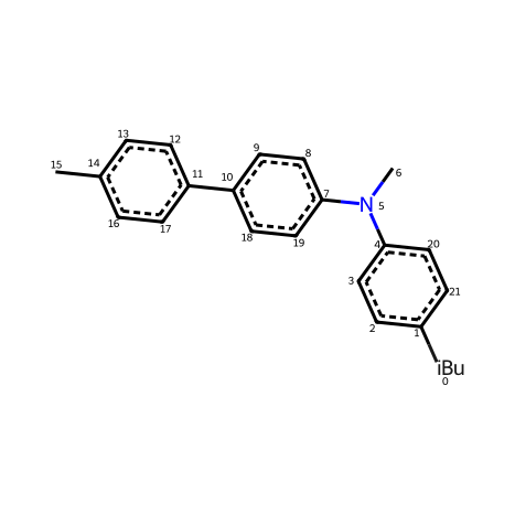 CCC(C)c1ccc(N(C)c2ccc(-c3ccc(C)cc3)cc2)cc1